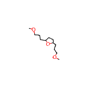 COCCCC1CCC(CCCOC)O1